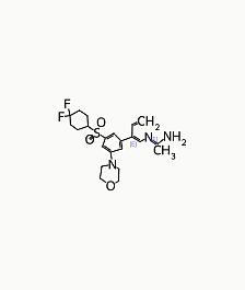 C=C/C(=C\N=C(/C)N)c1cc(N2CCOCC2)cc(S(=O)(=O)C2CCC(F)(F)CC2)c1